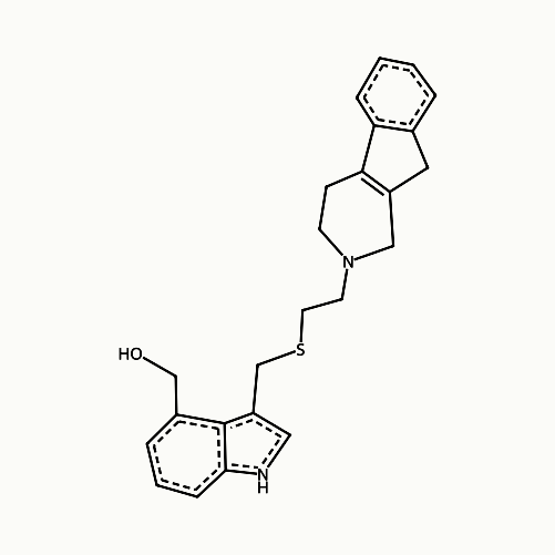 OCc1cccc2[nH]cc(CSCCN3CCC4=C(Cc5ccccc54)C3)c12